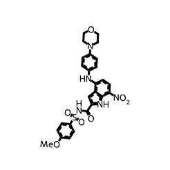 COc1ccc(S(=O)(=O)NC(=O)c2cc3c(Nc4ccc(N5CCOCC5)cc4)ccc([N+](=O)[O-])c3[nH]2)cc1